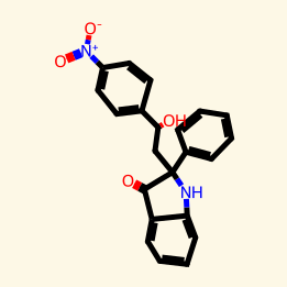 O=C1c2ccccc2NC1(CC(O)c1ccc([N+](=O)[O-])cc1)c1ccccc1